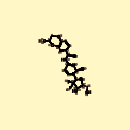 CC1COc2ccc(C(=O)Nc3ccn(C4O[C@H](CO)[C@@H](O)C4(F)F)c(=O)n3)cc2O1